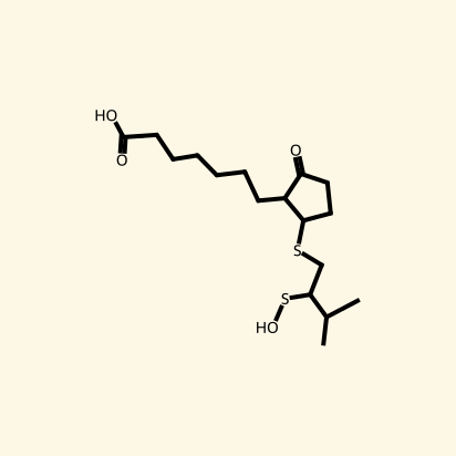 CC(C)C(CSC1CCC(=O)C1CCCCCCC(=O)O)SO